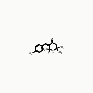 Cc1ccc(/C=C2/C(=O)CC(C)(C)NC2(C)C)cc1